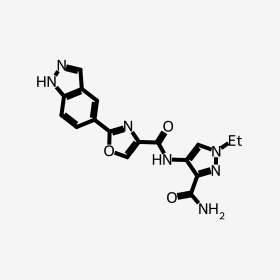 CCn1cc(NC(=O)c2coc(-c3ccc4[nH]ncc4c3)n2)c(C(N)=O)n1